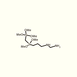 CO[Si](CCCNCN)(C[Si](OC)(OC)OC)OC